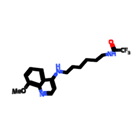 COc1cccc2c(NCCCCCCNC(=O)C(F)(F)F)ccnc12